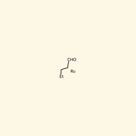 CCCCC=O.[Ru]